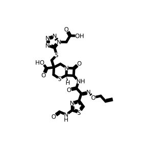 C=CCON=C(C(=O)NC1C(=O)N2CC(CSc3nnnn3CC(=O)O)(C(=O)O)CS[C@H]12)c1csc(NC=O)n1